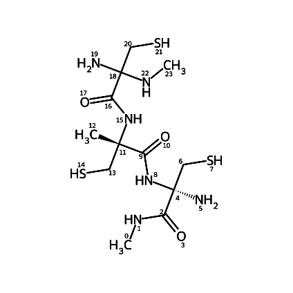 CNC(=O)[C@](N)(CS)NC(=O)[C@](C)(CS)NC(=O)C(N)(CS)NC